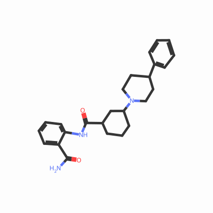 NC(=O)c1ccccc1NC(=O)C1CCCC(N2CCC(c3ccccc3)CC2)C1